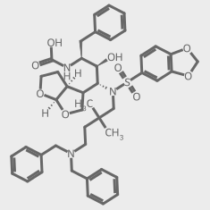 CC(C)(CCN(Cc1ccccc1)Cc1ccccc1)CN([C@H](C1CO[C@H]2OCC[C@@H]12)[C@H](O)[C@H](Cc1ccccc1)NC(=O)O)S(=O)(=O)c1ccc2c(c1)OCO2